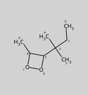 CCC(C)(C)C1OO[C]1C